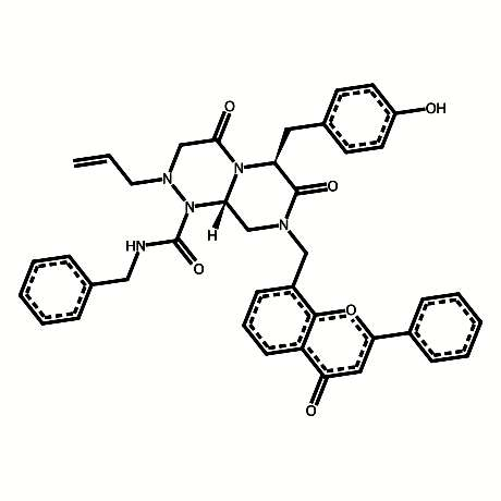 C=CCN1CC(=O)N2[C@@H](Cc3ccc(O)cc3)C(=O)N(Cc3cccc4c(=O)cc(-c5ccccc5)oc34)C[C@@H]2N1C(=O)NCc1ccccc1